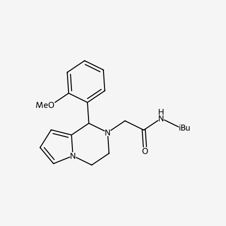 CCC(C)NC(=O)CN1CCn2cccc2C1c1ccccc1OC